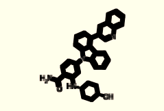 NC(=O)c1ccc(-n2c3ccccc3c3c(-c4cnc5ccccc5c4)cccc32)cc1N[C@H]1CC[C@H](O)CC1